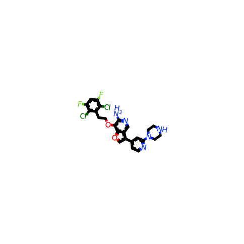 Nc1ncc2c(-c3ccnc(N4CCNCC4)c3)coc2c1OCCc1c(Cl)c(F)cc(F)c1Cl